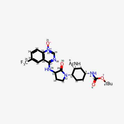 CC(=O)N[C@@H]1C[C@H](NC(=O)OC(C)(C)C)CC[C@@H]1N1CCC(Nc2nc[n+]([O-])c3ccc(C(F)(F)F)cc23)C1=O